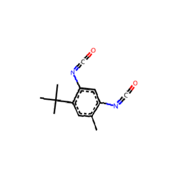 Cc1cc(C(C)(C)C)c(N=C=O)cc1N=C=O